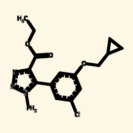 CCOC(=O)c1nnn(P)c1-c1cc(Cl)cc(OCC2CC2)c1